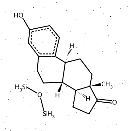 C[C@]12CC[C@@H]3c4ccc(O)cc4CC[C@H]3[C@@H]1CCC2=O.[SiH3]O[SiH3]